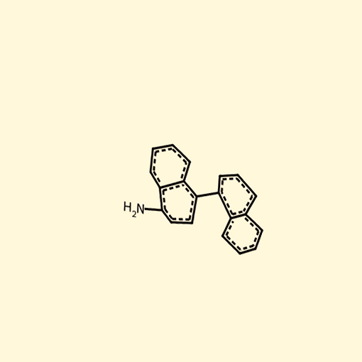 Nc1ccc(-c2cccc3ccccc23)c2ccccc12